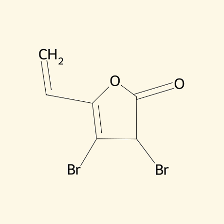 C=CC1=C(Br)C(Br)C(=O)O1